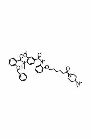 COc1cc(C(=O)N(C)c2ccccc2OCCCCCC(=O)N2CCC(N(C)C)CC2)ccc1NC(=O)c1ccccc1OCc1ccccc1